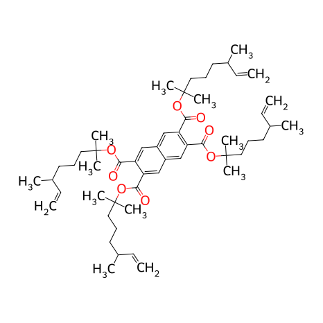 C=CC(C)CCCC(C)(C)OC(=O)c1cc2cc(C(=O)OC(C)(C)CCCC(C)C=C)c(C(=O)OC(C)(C)CCCC(C)C=C)cc2cc1C(=O)OC(C)(C)CCCC(C)C=C